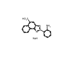 Nc1ccccc1-n1nc2cc(S(=O)(=O)O)c3ccccc3c2n1.[NaH]